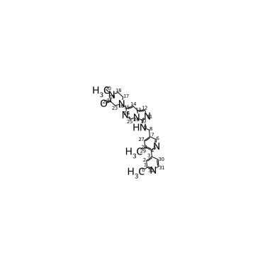 Cc1cc(-c2ncc(CNc3ncc4cc(N5CCN(C)C(=O)C5)ncn34)cc2C)ccn1